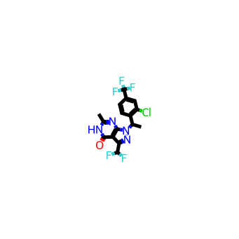 Cc1nc2c(c(C(F)F)nn2C(C)c2ccc(C(F)(F)F)cc2Cl)c(=O)[nH]1